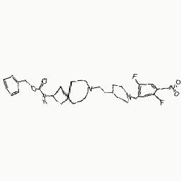 O=C(NC1CC2(CCN(CCC3CCN(c4cc(F)c([N+](=O)[O-])cc4F)CC3)CC2)C1)OCc1ccccc1